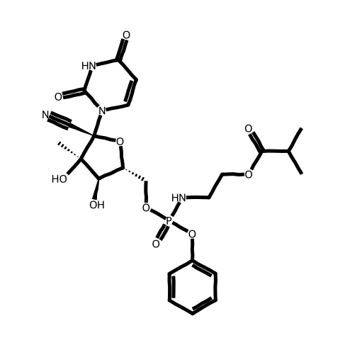 CC(C)C(=O)OCCNP(=O)(OC[C@H]1O[C@@](C#N)(n2ccc(=O)[nH]c2=O)[C@](C)(O)[C@@H]1O)Oc1ccccc1